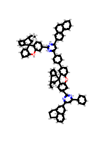 C1=Cc2cc(-c3cc(-c4ccccc4)nc(-c4ccc5c(c4)Oc4ccc(-c6ccc(-c7cc(-c8ccc9c(ccc%10ccccc%109)c8)nc(-c8ccc9c(c8)Oc8ccccc8C98c9ccccc9-c9ccccc98)n7)cc6)cc4C54c5ccccc5-c5ccccc54)n3)cc3cccc(c23)C1